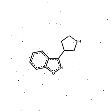 c1ccc2c(C3CCNC3)noc2c1